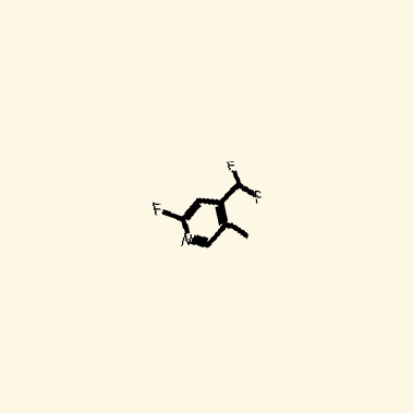 Cc1cnc(F)cc1C(F)F